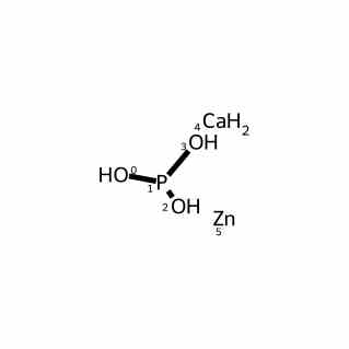 OP(O)O.[CaH2].[Zn]